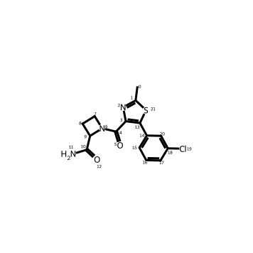 Cc1nc(C(=O)N2CCC2C(N)=O)c(-c2cccc(Cl)c2)s1